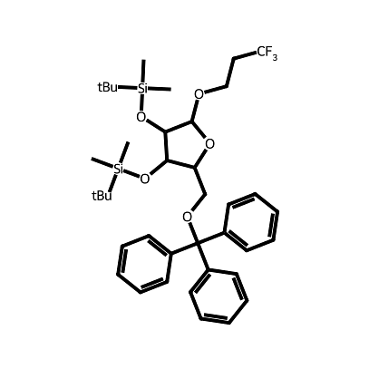 CC(C)(C)[Si](C)(C)OC1C(COC(c2ccccc2)(c2ccccc2)c2ccccc2)OC(OCCC(F)(F)F)C1O[Si](C)(C)C(C)(C)C